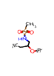 CC(C)OC(CC#N)CNS(C)(=O)=O